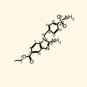 CCOC(=O)c1ccc2c(c1)nc(N)n2Cc1ccc(S(N)(=O)=O)cc1